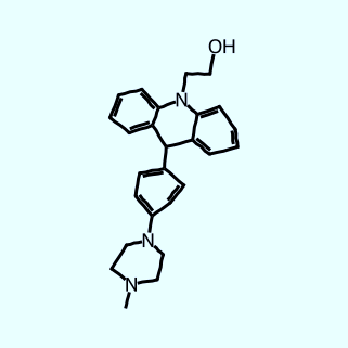 CN1CCN(c2ccc(C3c4ccccc4N(CCO)c4ccccc43)cc2)CC1